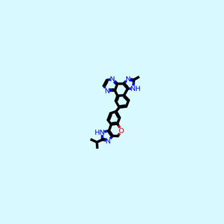 Cc1nc2c3nccnc3c3cc(-c4ccc5c(c4)OCc4nc(C(C)C)[nH]c4-5)ccc3c2[nH]1